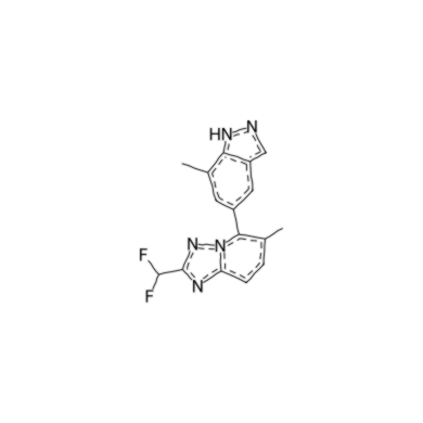 Cc1ccc2nc(C(F)F)nn2c1-c1cc(C)c2[nH]ncc2c1